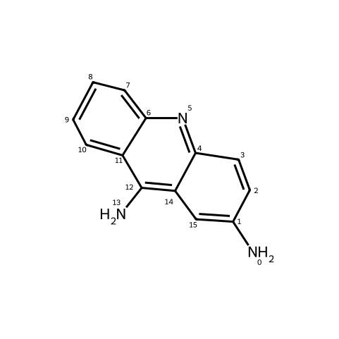 Nc1ccc2nc3ccccc3c(N)c2c1